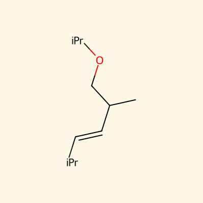 CC(C)/C=C/C(C)COC(C)C